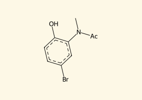 CC(=O)N(C)c1cc(Br)ccc1O